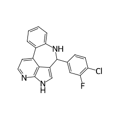 Fc1cc(C2Nc3ccccc3-c3ccnc4[nH]cc2c34)ccc1Cl